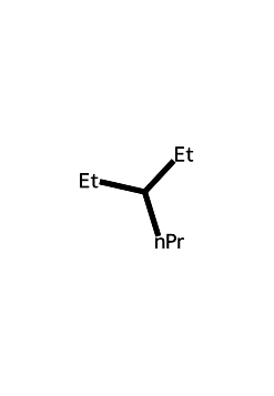 [CH2]CCC(CC)CC